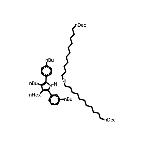 CCCCCCC1=C(c2cccc(CCCC)c2)[N+](=[N-])C(c2ccc(CCCC)cc2)=C1CCCC.CCCCCCCCCCCCCCCCCCCC[CH2][Ni][CH2]CCCCCCCCCCCCCCCCCCCC